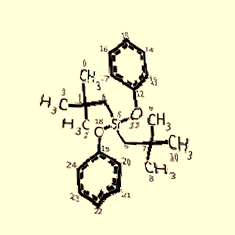 CC(C)(C)C[Si](CC(C)(C)C)(Oc1ccccc1)Oc1ccccc1